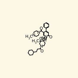 CN1CCN(C(=O)c2cn(CC3(O)CCN(C(=O)CCC4CCCCC4)CC3(C)C)c(=O)cc2-c2ccccc2)CC1